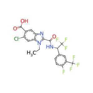 CCn1c(C(=O)NC(c2ccc(F)c(C(F)(F)F)c2)C(F)(F)F)nc2cc(C(=O)O)c(Cl)cc21